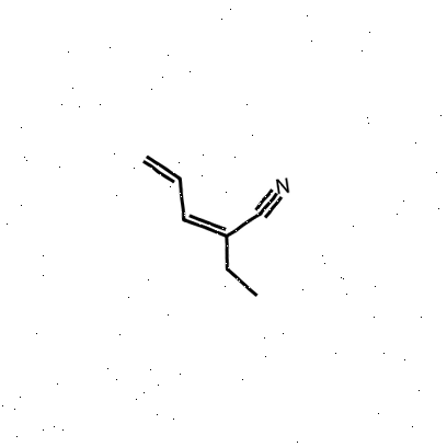 C=CC=C(C#N)CC